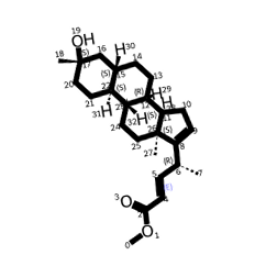 COC(=O)/C=C/[C@@H](C)C1=CC[C@H]2[C@@H]3CC[C@H]4C[C@@](C)(O)CC[C@@H]4[C@H]3CC[C@]12C